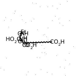 CCNC(=O)CC[C@H](NC(=O)CC[C@H](NC(=O)CCCCCCCCCCCCCCCCCCC(=O)O)C(=O)O)C(=O)O